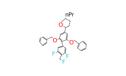 CCC[C@@H]1CCC(c2cc(OCc3ccccc3)c(-c3cc(F)c(CF)c(F)c3)c(OCc3ccccc3)c2)OC1